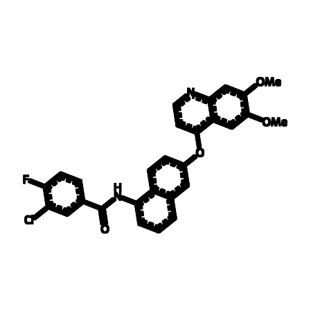 COc1cc2nccc(Oc3ccc4c(NC(=O)c5ccc(F)c(Cl)c5)cccc4c3)c2cc1OC